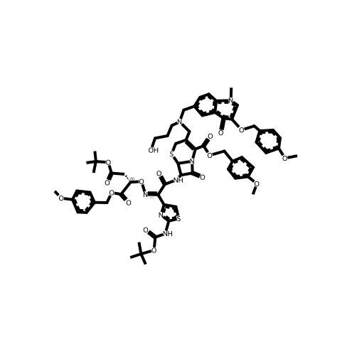 COc1ccc(COC(=O)C2=C(CN(CCCO)Cc3ccc4c(c3)c(=O)c(OCc3ccc(OC)cc3)cn4C)CSC3C(NC(=O)/C(=N\O[C@@H](CC(=O)OC(C)(C)C)C(=O)OCc4ccc(OC)cc4)c4csc(NC(=O)OC(C)(C)C)n4)C(=O)N23)cc1